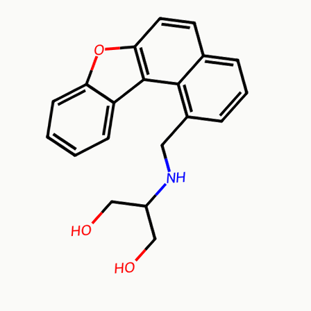 OCC(CO)NCc1cccc2ccc3oc4ccccc4c3c12